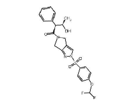 C[C@@H](O)[C@@H](C(=O)N1Cc2cn(S(=O)(=O)c3ccc(OC(F)F)cc3)nc2C1)c1ccccc1